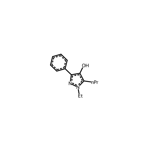 CCCc1c(O)c(-c2ccccc2)nn1CC